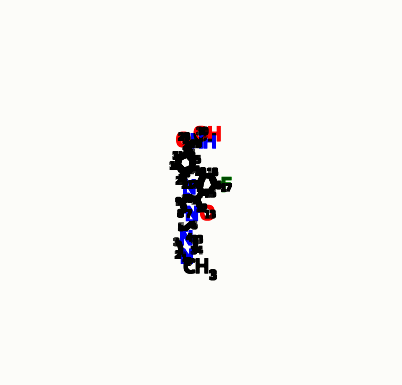 CN1CCN(CCN2C=CC3C(C2=O)C2CC(F)=CC=C2N3Cc2ccc(C(=O)NO)cc2)CC1